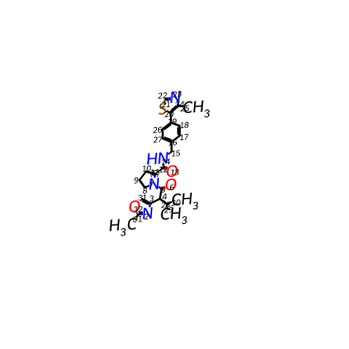 Cc1nc(C(C(=O)N2CCC[C@H]2C(=O)NCc2ccc(-c3scnc3C)cc2)C(C)C)co1